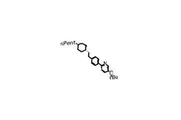 CCCCC[C@H]1CC[C@H](CCc2ccc(-c3ccc(OCCCC)cn3)cc2)CC1